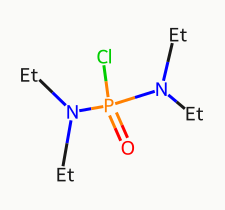 CCN(CC)P(=O)(Cl)N(CC)CC